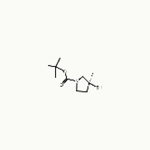 CC(C)(C)OC(=O)N1CC[C@](C)(S)C1